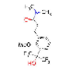 COc1c(CCC(=O)N(C)C)cccc1C(O)(C(F)(F)F)C(F)(F)F